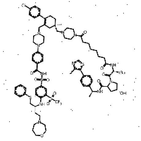 Cc1ncsc1-c1ccc([C@H](C)NC(=O)[C@@H]2C[C@@H](O)CN2C(=O)[C@@H](NC(=O)CCCCCCC(=O)N2CCN(C[C@]3(C)CCC(c4ccc(Cl)cc4)=C(CN4CCN(c5ccc(C(=O)NS(=O)(=O)c6ccc(N[C@H](CCN7CCCOCC7)CSc7ccccc7)c(S(=O)(=O)C(F)(F)F)c6)cc5)CC4)C3)CC2)C(C)(C)C)cc1